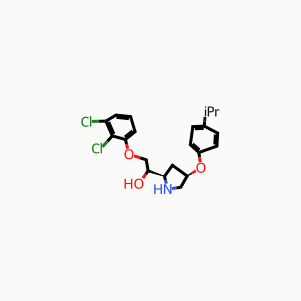 CC(C)c1ccc(O[C@H]2CN[C@@H](C(O)COc3cccc(Cl)c3Cl)C2)cc1